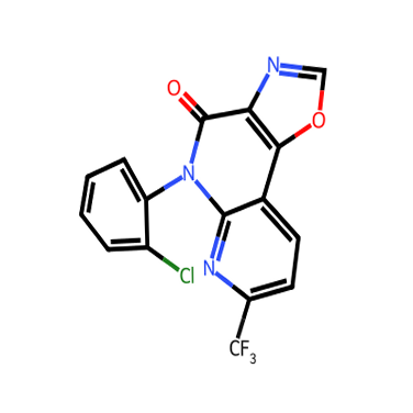 O=c1c2ncoc2c2ccc(C(F)(F)F)nc2n1-c1ccccc1Cl